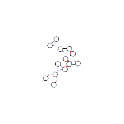 c1ccc2c(c1)Oc1cc(-n3c4ccccc4c4c(-c5ccc(-c6ccccc6-n6c7ccccc7c7ccccc76)c(-n6c7ccccc7c7cc(-n8c9ccccc9c9ccccc98)ccc76)c5)cccc43)cc3c1B2c1ccccc1O3